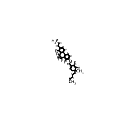 CCCCCC1(C)CC=C(COc2ccc3c(c2F)C(F)(F)C(F)(F)c2c-3ccc(CCC)c2F)C(F)=C1F